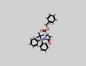 CC(C)(C)[Si](c1ccccc1)(c1ccccc1)N1C(=O)C[C@H]1C(=O)OCc1ccccc1